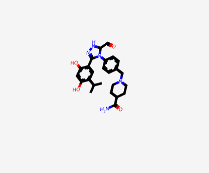 CC(C)c1cc(C2=NNC(C=O)N2c2ccc(CN3CCC(C(N)=O)CC3)cc2)c(O)cc1O